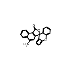 Nc1cc2c(c3ccccc13)C(=O)OC21c2ccccc2Oc2ccccc21